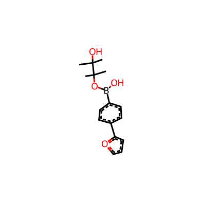 CC(C)(O)C(C)(C)OB(O)c1ccc(-c2ccco2)cc1